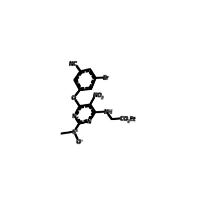 CCOC(=O)CNc1nc([S+](C)[O-])nc(Oc2cc(Br)cc(C#N)c2)c1[N+](=O)[O-]